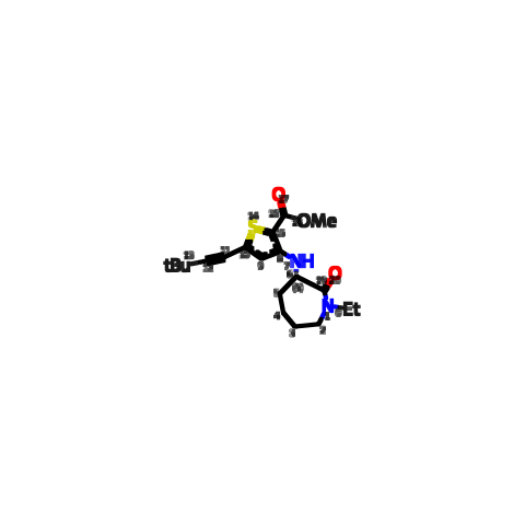 CCN1CCCC[C@H](Nc2cc(C#CC(C)(C)C)sc2C(=O)OC)C1=O